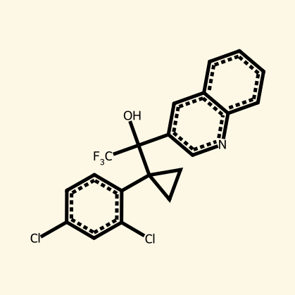 OC(c1cnc2ccccc2c1)(C(F)(F)F)C1(c2ccc(Cl)cc2Cl)CC1